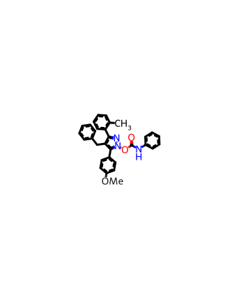 COc1ccc(-c2c(Cc3ccccc3)c(-c3ccccc3C)nn2OC(=O)Nc2ccccc2)cc1